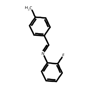 Cc1ccc(C=Nc2ccccc2F)cc1